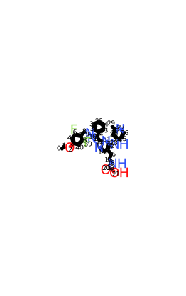 CCOc1cc(F)c(Cn2nc(-c3ncc(CCNC(=O)O)c(Nc4ccnc(C)c4)n3)c3ccccc32)c(F)c1